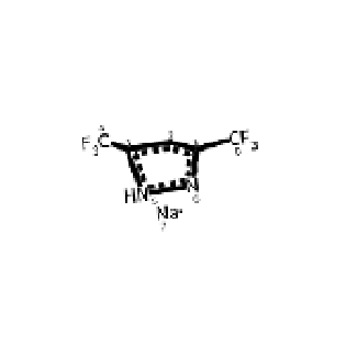 FC(F)(F)c1cc(C(F)(F)F)[nH]n1.[Na]